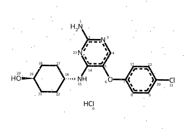 Cl.Nc1ncc(Oc2ccc(Cl)cc2)c(N[C@H]2CC[C@H](O)CC2)n1